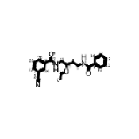 CCOC(CCNC(=O)c1ccccc1)CNC(=O)c1cccc(C#N)c1